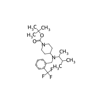 CC(C)C(C)N(Cc1ccccc1C(F)(F)F)C1CCN(C(=O)OC(C)(C)C)CC1